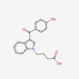 O=C(O)CCCn1cc(C(=O)c2ccc(O)cc2)c2ccccc21